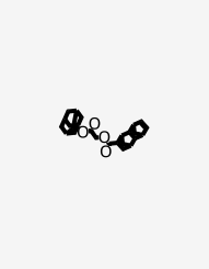 O=C(COC(=O)C1CC2CC1C1C3C=CC(C3)C21)OC12CC3CC(CC(C3)C1)C2